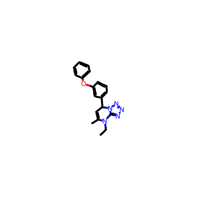 CCN1C(C)=CC(c2cccc(Oc3ccccc3)c2)n2nnnc21